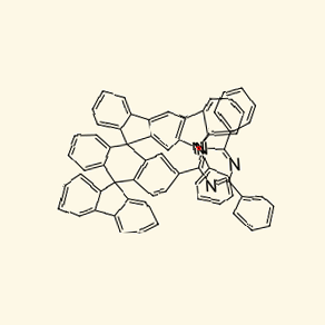 c1ccc(-c2nc(-c3ccccc3)nc(-c3ccc4c(c3)C3(c5ccccc5-c5cc6c7ccccc7n(-c7ccccc7)c6cc53)c3ccccc3C43c4ccccc4-c4ccccc43)n2)cc1